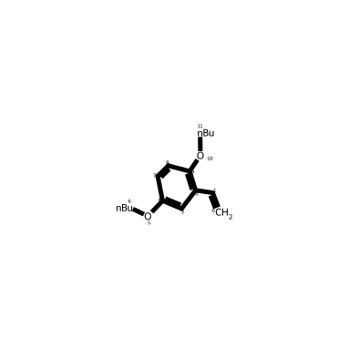 C=Cc1cc(OCCCC)ccc1OCCCC